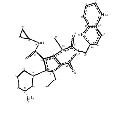 CCn1c(N2CCC[C@@H](N)C2)c(C(=O)NC2CC2)c2c1c(=O)n(Cc1ccc3ncccc3n1)c(=O)n2C